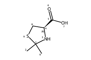 CC1(C)N[C@H](C(=O)O)CS1